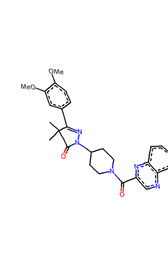 COc1ccc(C2=NN(C3CCN(C(=O)c4cnc5ccccc5n4)CC3)C(=O)C2(C)C)cc1OC